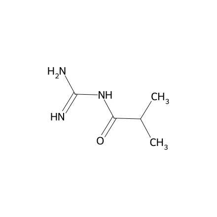 CC(C)C(=O)NC(=N)N